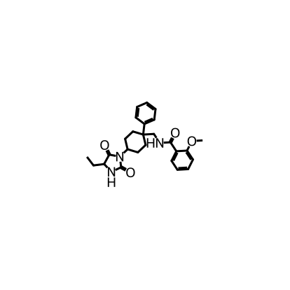 CCC1NC(=O)N(C2CCC(CNC(=O)c3ccccc3OC)(c3ccccc3)CC2)C1=O